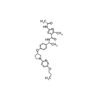 CCCOc1ccc(N2CC[C@@H](Oc3ccc([C@H](C)NC(=O)c4sc(NC(C)=O)nc4C)cc3)C2)nc1